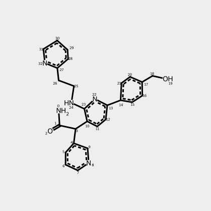 NC(=O)C(c1cccnc1)c1ccc(-c2ccc(CO)cc2)nc1NCCc1ccccn1